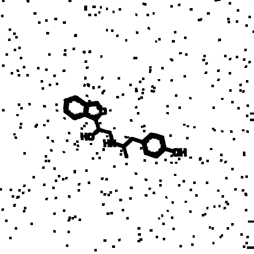 CC(Cc1ccc(O)cc1)NCC(O)c1occ2ccccc12